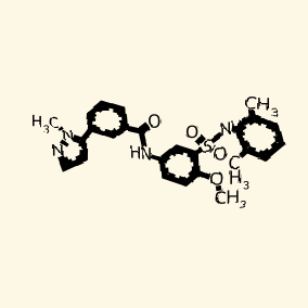 COc1ccc(NC(=O)c2cccc(-c3ccnn3C)c2)cc1S(=O)(=O)Nc1c(C)cccc1C